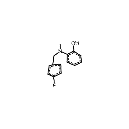 CN(Cc1ccc(F)cc1)c1ccccc1O